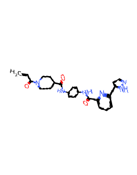 C=CC(=O)N1CCC(C(=O)Nc2ccc(NC(=O)c3cccc(-c4ccn[nH]4)n3)cc2)CC1